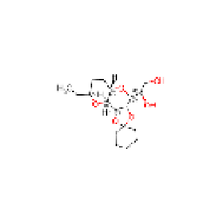 CC[C@H]1CC[C@@H]2O[C@@H]([C@H](O)CO)C3OC4(CCCCC4)O[C@H]3[C@H]2O1